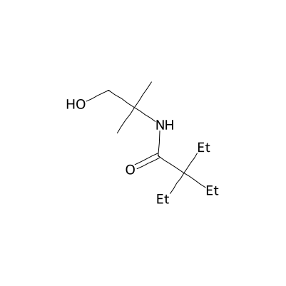 CCC(CC)(CC)C(=O)NC(C)(C)CO